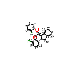 CC1=C[CH]([Zr]([O]c2ccccc2F)[O]c2ccccc2F)c2ccccc21